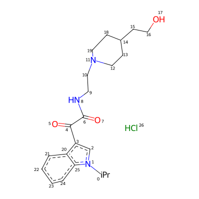 CC(C)n1cc(C(=O)C(=O)NCCN2CCC(CCO)CC2)c2ccccc21.Cl